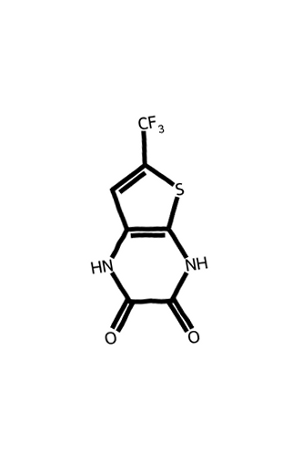 O=c1[nH]c2cc(C(F)(F)F)sc2[nH]c1=O